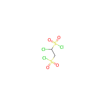 O=S(=O)(Cl)CC(Cl)S(=O)(=O)Cl